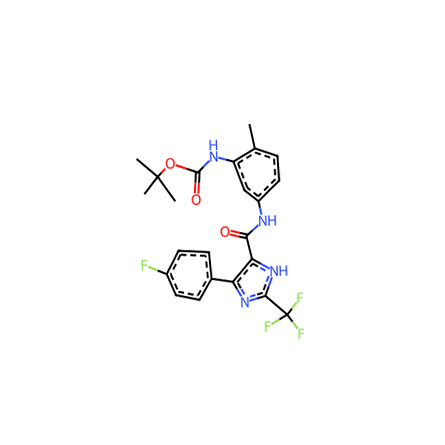 Cc1ccc(NC(=O)c2[nH]c(C(F)(F)F)nc2-c2ccc(F)cc2)cc1NC(=O)OC(C)(C)C